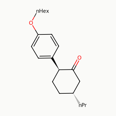 CCCCCCOc1ccc([C@@H]2CC[C@@H](CCC)CC2=O)cc1